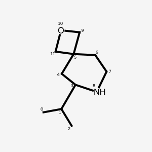 CC(C)C1CC2(CCN1)COC2